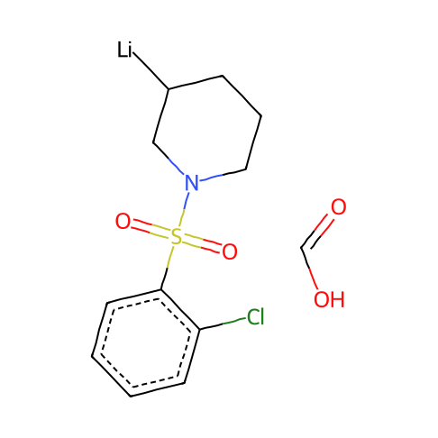 O=CO.[Li][CH]1CCCN(S(=O)(=O)c2ccccc2Cl)C1